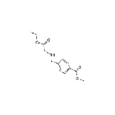 CCOC(=O)CNCc1ccc(C(=O)OC)cc1